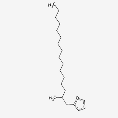 CCCCCCCCCCCCCCC(C)Cc1ccco1